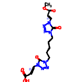 COC(=O)/C=C/n1nnn(CCCCCn2nnn(/C=C/C(=O)O)c2=O)c1=O